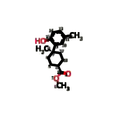 COC(=O)[C@H]1CC[C@@](C)(c2cc(C)ccc2O)CC1